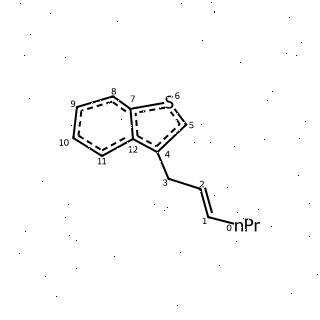 CCCC=CCc1csc2ccccc12